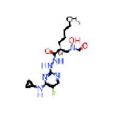 CCCCC[C@@H](CN(O)C=O)C(=O)NNc1ncc(F)c(NC2CC2)n1